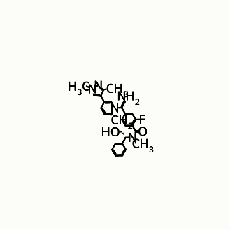 C=C1C=CC(c2cn(C)nc2C)=CN1/C(=C\N)c1ccc(C(=O)N(C)[C@@H](CO)c2ccccc2)c(F)c1